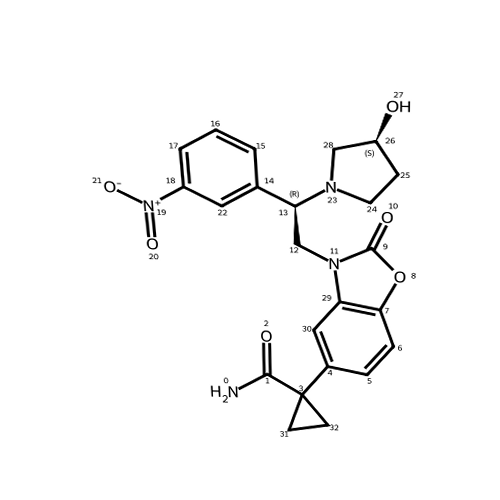 NC(=O)C1(c2ccc3oc(=O)n(C[C@@H](c4cccc([N+](=O)[O-])c4)N4CC[C@H](O)C4)c3c2)CC1